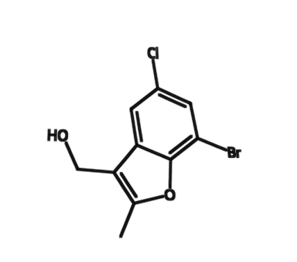 Cc1oc2c(Br)cc(Cl)cc2c1CO